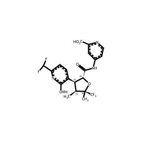 COc1nc(C(F)F)ccc1[C@H]1[C@H](C(=O)Nc2ccnc(C(=O)O)c2)O[C@@](C)(C(F)(F)F)[C@H]1C